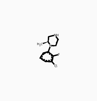 C[C@H]1CNCCN1c1cccc(Cl)c1F